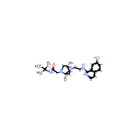 CC(C)(C)NC(=O)CN1C[C@@H]2C[C@H]1CN2CCNc1nccc2ccc(Cl)cc12